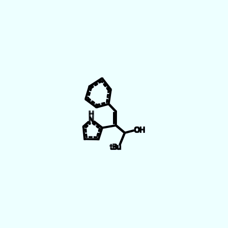 CC(C)(C)C(O)C(=Cc1ccccc1)c1ccc[nH]1